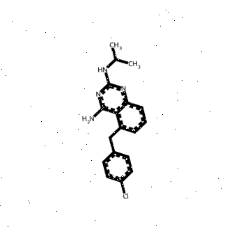 CC(C)Nc1nc(N)c2c(Cc3ccc(Cl)cc3)cccc2n1